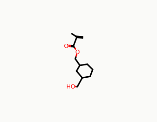 C=C(C)C(=O)OCC1CCCC(CO)C1